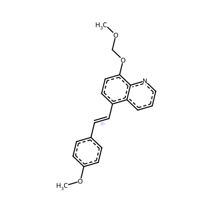 COCOc1ccc(/C=C/c2ccc(OC)cc2)c2cccnc12